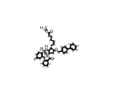 COC(=O)CCC/C=C\C[C@@H]1[C@@H](NS(=O)(=O)c2ccc(F)cc2F)[C@H](OC(=O)c2ccccc2)C[C@H]1OCc1ccc(-c2ccccc2)cc1